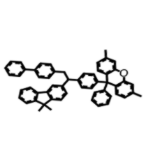 Cc1ccc2c(c1)Oc1cc(C)ccc1C2(c1ccccc1)c1ccc(C(Cc2ccc(-c3ccccc3)cc2)c2ccc3c(c2)-c2ccccc2C3(C)C)cc1